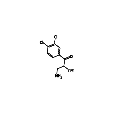 CCCC(CN)C(=O)c1ccc(Cl)c(Cl)c1